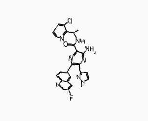 C[C@@H](NC(=O)c1nc(-c2ccc3ncc(F)cc3c2)c(-c2ccn(C)n2)nc1N)c1ncccc1Cl